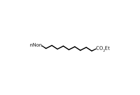 [CH2]COC(=O)CCCCCCCCCCCCCCCCCC